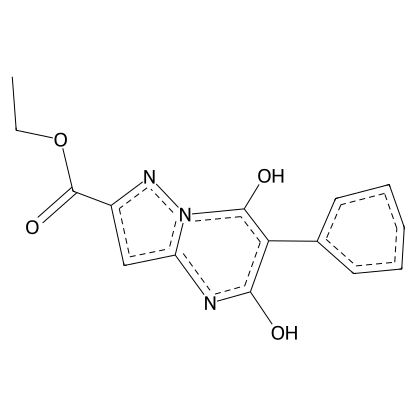 CCOC(=O)c1cc2nc(O)c(-c3ccccc3)c(O)n2n1